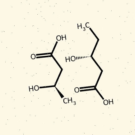 CC[C@@H](O)CC(=O)O.C[C@@H](O)CC(=O)O